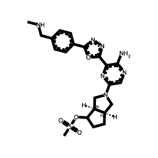 CNCc1ccc(-c2nnc(-c3nc(N4C[C@H]5CCC(OS(C)(=O)=O)[C@H]5C4)cnc3N)o2)cc1